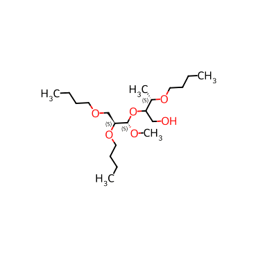 CCCCOC[C@H](OCCCC)[C@@H](OC)OC(CO)[C@H](C)OCCCC